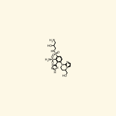 NCC(O)CNS(=O)(=O)c1ccc(N2CCC(CO)n3ccnc32)c(-c2nn[nH]n2)c1S(N)(=O)=O